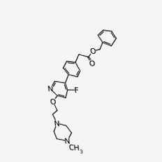 CN1CCN(CCOc2cc(F)c(-c3ccc(CC(=O)OCc4ccccc4)cc3)cn2)CC1